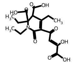 CCC1=C(C(=O)C=C(O)C(=O)O)C(=O)N(CC)C(CC)(C(=O)O)C1C(=O)O